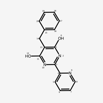 Oc1nc(-c2ccccn2)nc(O)c1Cc1ccccc1